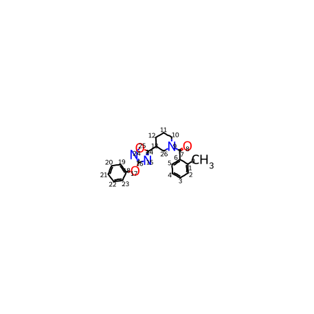 Cc1ccccc1C(=O)N1CCCC(c2nc(Oc3ccccc3)no2)C1